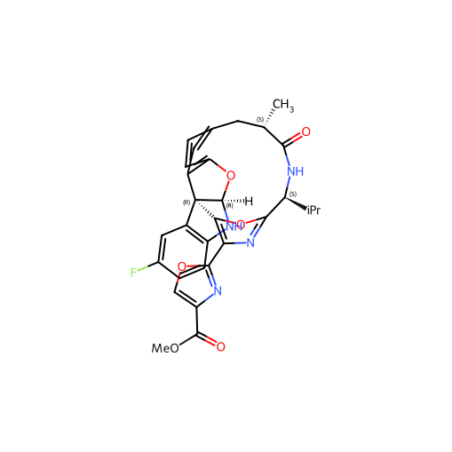 COC(=O)c1coc(-c2nc3oc2[C@@]24c5cc(F)ccc5N[C@@H]2Oc2ccc(cc24)C[C@H](C)C(=O)N[C@H]3C(C)C)n1